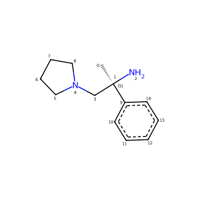 C[C@@](N)(CN1CCCC1)c1ccccc1